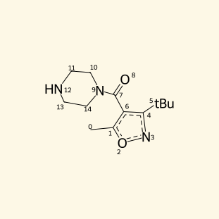 Cc1onc(C(C)(C)C)c1C(=O)N1CCNCC1